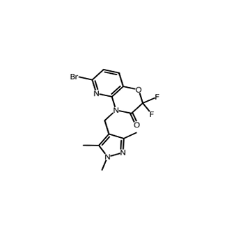 Cc1nn(C)c(C)c1CN1C(=O)C(F)(F)Oc2ccc(Br)nc21